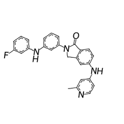 Cc1cc(Nc2ccc3c(c2)CN(c2cccc(Nc4cccc(F)c4)c2)C3=O)ccn1